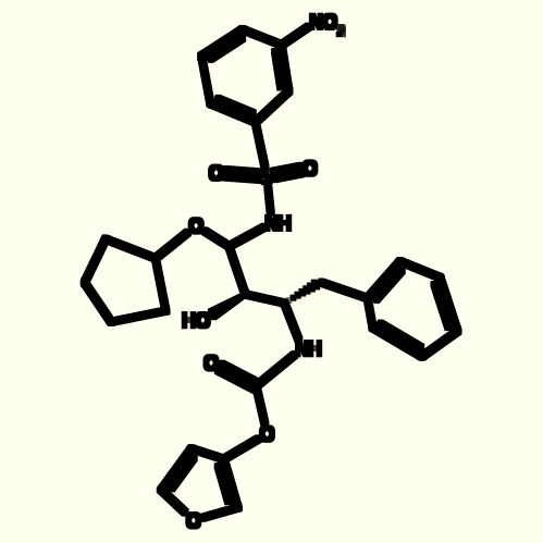 O=C(N[C@@H](Cc1ccccc1)[C@@H](O)C(NS(=O)(=O)c1cccc([N+](=O)[O-])c1)OC1CCCC1)Oc1ccoc1